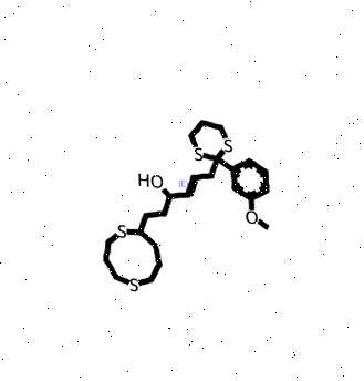 COc1cccc(C2(C/C=C/C(O)CCC3CCCSCCCS3)SCCCS2)c1